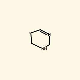 [C]1C=NCNC1